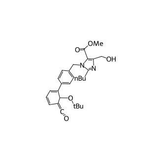 CCCCc1nc(CO)c(C(=O)OC)n1Cc1ccc(C2=CC=CC(=C=O)C2OC(C)(C)C)cc1